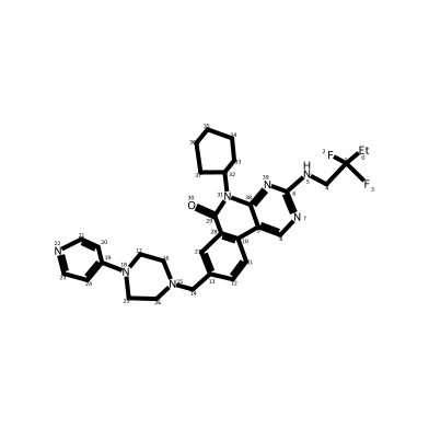 CCC(F)(F)CNc1ncc2c3ccc(CN4CCN(c5ccncc5)CC4)cc3c(=O)n(C3CCCCC3)c2n1